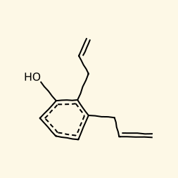 C=CCc1cccc(O)c1CC=C